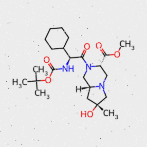 COC(=O)[C@@H]1CN2C[C@](C)(O)C[C@@H]2CN1C(=O)[C@@H](NC(=O)OC(C)(C)C)C1CCCCC1